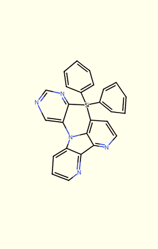 c1ccc([Si]2(c3ccccc3)c3ncncc3-n3c4cccnc4c4nccc2c43)cc1